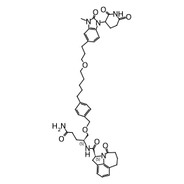 Cn1c(=O)n(C2CCC(=O)NC2=O)c2ccc(CCCOCCCCCc3ccc(COC[C@H](CCC(N)=O)NC(=O)[C@@H]4Cc5cccc6c5N4C(=O)CCC6)cc3)cc21